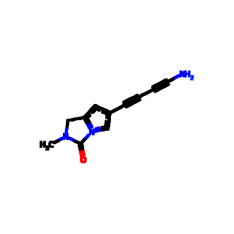 CN1Cc2cc(C#CC#CN)cn2C1=O